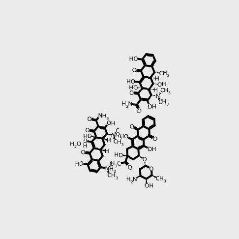 CC(=O)[C@]1(O)Cc2c(O)c3c(c(O)c2[C@@H](O[C@H]2C[C@H](N)[C@H](O)[C@H](C)O2)C1)C(=O)c1ccccc1C3=O.CN(C)c1ccc(O)c2c1C[C@H]1C[C@H]3[C@H](N(C)C)C(O)=C(C(N)=O)C(=O)[C@@]3(O)C(O)=C1C2=O.C[C@H]1c2cccc(O)c2C(=O)C2=C(O)[C@]3(O)C(=O)C(C(N)=O)=C(O)[C@@H](N(C)C)[C@@H]3[C@@H](O)[C@@H]21.O